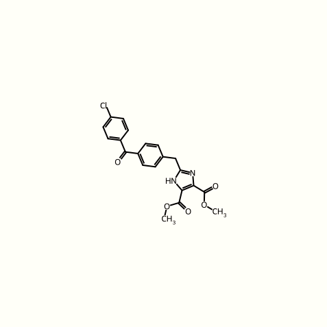 COC(=O)c1nc(Cc2ccc(C(=O)c3ccc(Cl)cc3)cc2)[nH]c1C(=O)OC